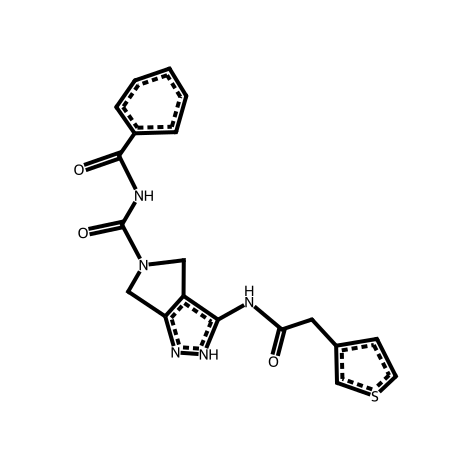 O=C(Cc1ccsc1)Nc1[nH]nc2c1CN(C(=O)NC(=O)c1ccccc1)C2